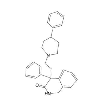 O=C1NCc2ccccc2C1(CCN1CCC(c2ccccc2)CC1)c1ccccc1